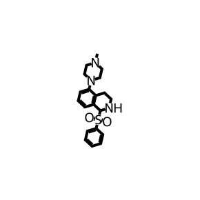 CN1CCN(c2cccc3c2CCNC3S(=O)(=O)c2ccccc2)CC1